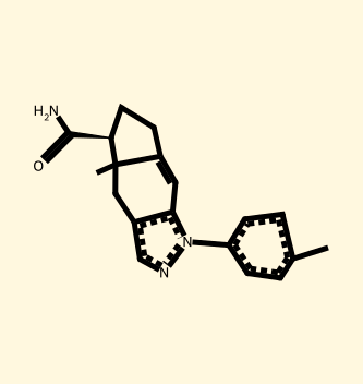 Cc1ccc(-n2ncc3c2C=C2CC[C@H](C(N)=O)C2(C)C3)cc1